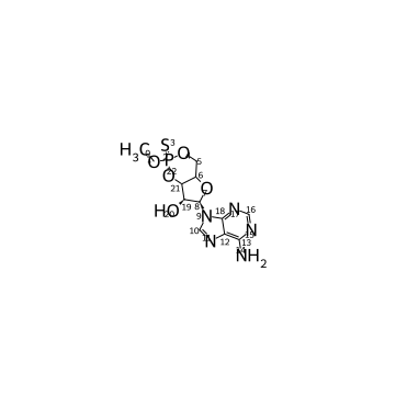 COP1(=S)OCC2O[C@@H](n3cnc4c(N)ncnc43)[C@@H](O)C2O1